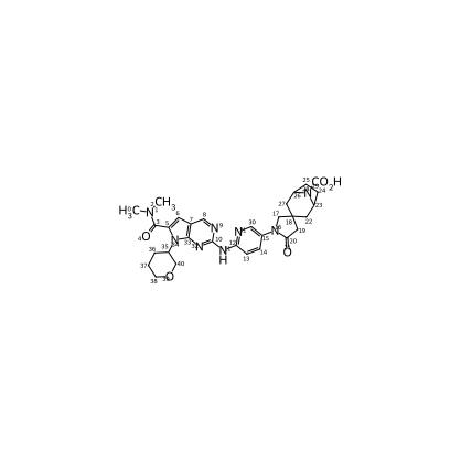 CN(C)C(=O)c1cc2cnc(Nc3ccc(N4CC5(CC4=O)CC4CCC(C5)N4C(=O)O)cn3)nc2n1C1CCCOC1